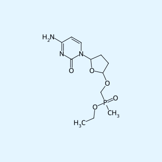 CCOP(C)(=O)COC1CCC(n2ccc(N)nc2=O)O1